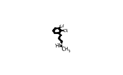 CNCCCc1cccc(Cl)c1Cl